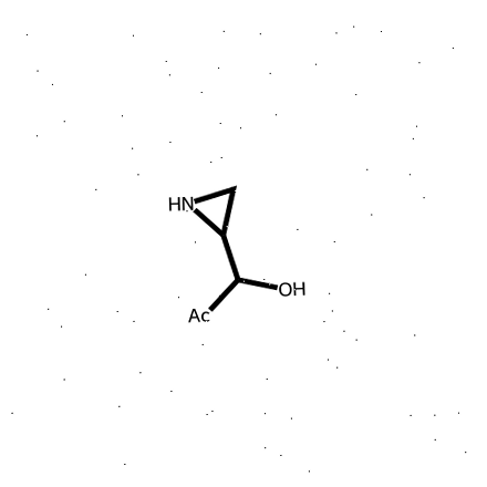 CC(=O)C(O)C1CN1